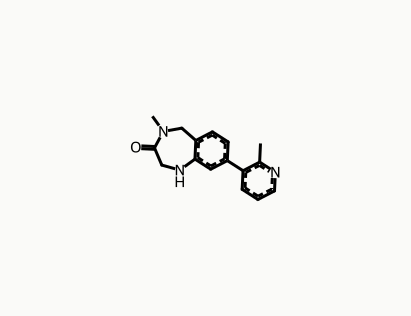 Cc1ncccc1-c1ccc2c(c1)NCC(=O)N(C)C2